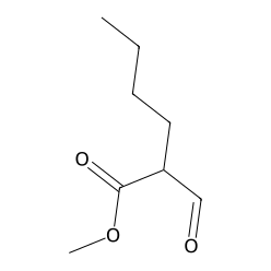 CCCCC(C=O)C(=O)OC